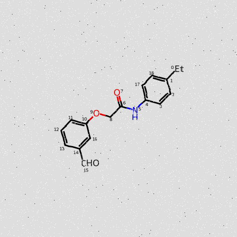 CCc1ccc(NC(=O)COc2cccc(C=O)c2)cc1